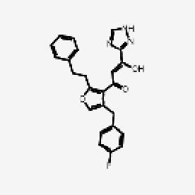 O=C(C=C(O)c1nc[nH]n1)c1c(Cc2ccc(F)cc2)coc1CCc1ccccc1